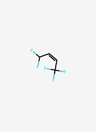 FC(F)/C=C\C(F)(F)F